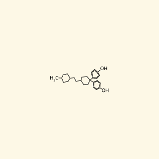 CC1CCC(CCC2CCC(c3ccc(O)cc3)(c3ccc(O)cc3)CC2)CC1